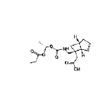 CCC(=O)O[C@H](C)OC(=O)NC[C@@]1(CC(=O)O)C[C@@H]2CC=C[C@@H]21